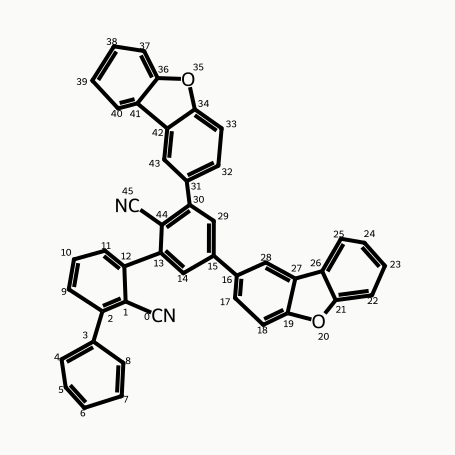 N#Cc1c(-c2ccccc2)cccc1-c1cc(-c2ccc3oc4ccccc4c3c2)cc(-c2ccc3oc4ccccc4c3c2)c1C#N